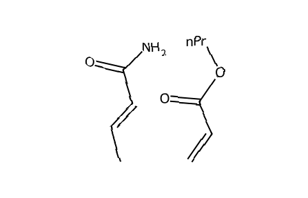 C=CC(=O)OCCC.CC=CC(N)=O